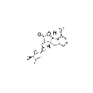 COc1cccc2c1[C@@H]1OC(=O)/C(=C/O[C@H]3C=C(C)C(=O)O3)[C@@H]1C2